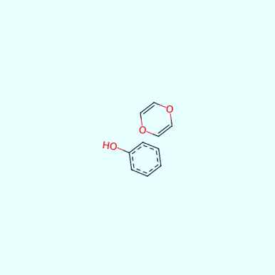 C1=COC=CO1.Oc1ccccc1